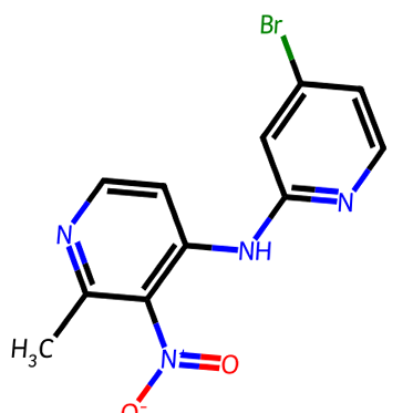 Cc1nccc(Nc2cc(Br)ccn2)c1[N+](=O)[O-]